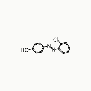 Oc1ccc(N=Nc2ccccc2Cl)cc1